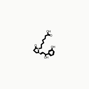 O=C(O)CCCCCCN1C(=O)CC[C@@H]1/C=C/C(O)c1cccc(O)c1